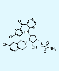 NS(=O)(=O)OC[C@H]1C[C@@H](Nc2ncncc2C(=O)c2cc([C@@H]3OCCc4ccc(Cl)cc43)c(Cl)s2)C[C@@H]1O